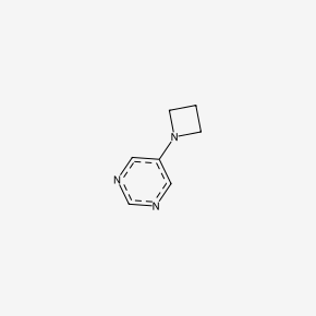 c1ncc(N2CCC2)cn1